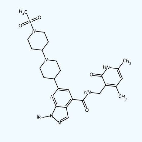 Cc1cc(C)c(CNC(=O)c2cc(C3CCN(C4CCN(S(C)(=O)=O)CC4)CC3)nc3c2cnn3C(C)C)c(=O)[nH]1